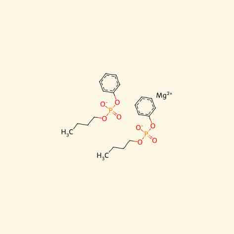 CCCCOP(=O)([O-])Oc1ccccc1.CCCCOP(=O)([O-])Oc1ccccc1.[Mg+2]